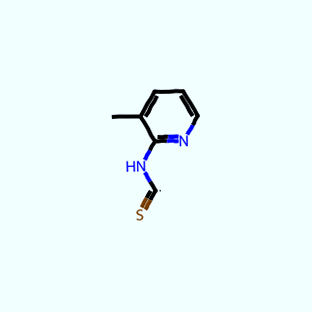 Cc1cccnc1N[C]=S